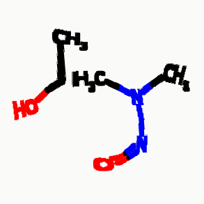 CCO.CN(C)N=O